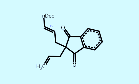 C=CCC1(C/C=C/CCCCCCCCCC)C(=O)c2ccccc2C1=O